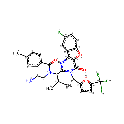 Cc1ccc(C(=O)N(CCN)[C@@H](c2nc3c(oc4ccc(F)cc43)c(=O)n2Cc2ccc(C(F)(F)F)o2)C(C)C)cc1